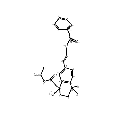 CC(C)OC(=O)C1(O)CCC(C)(C)c2ccc(C=COC(=O)c3ccccc3)cc21